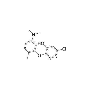 Cc1ccc(N(C)C)cc1Oc1nnc(Cl)cc1O